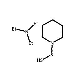 CCN(CC)CC.SSN1CCCCC1